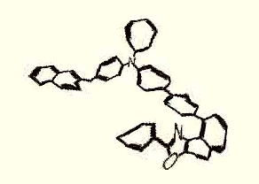 c1ccc(-c2nc3c(ccc4cccc(-c5ccc(-c6ccc(N(c7ccccc7)c7ccc(-c8ccc9ccccc9c8)cc7)cc6)cc5)c43)o2)cc1